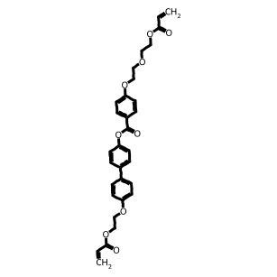 C=CC(=O)OCCOCCOc1ccc(C(=O)Oc2ccc(-c3ccc(OCCOC(=O)C=C)cc3)cc2)cc1